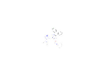 O=C(NN1CCCCC1)Oc1nc(-c2ccc(Cl)cc2)c(-c2ccc(Cl)cc2)nc1Cn1nnnc1N1CCOCC1